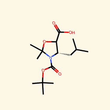 CC(C)C[C@H]1C(C(=O)O)OC(C)(C)N1C(=O)OC(C)(C)C